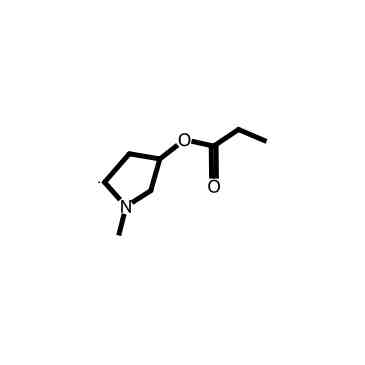 CCC(=O)OC1C[CH]N(C)C1